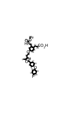 Cc1oc(-c2ccc(Oc3ccc(F)cc3)cc2)nc1CCOc1ccc(CCC(=O)O)c(CNC(=O)OC(C)C)c1